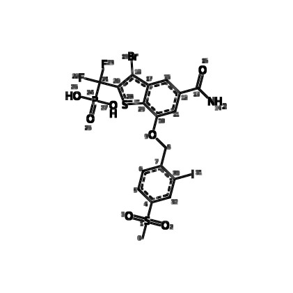 CS(=O)(=O)c1ccc(COc2cc(C(N)=O)cc3c(Br)c(C(F)(F)P(=O)(O)O)sc23)c(I)c1